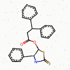 O=C(CC(c1ccccc1)c1ccccc1)OC1SC(=S)[N]C1c1ccccc1